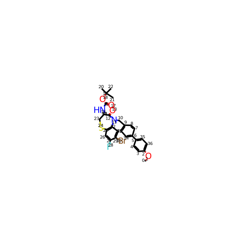 COc1ccc(-c2ccc(CN3C(=O)[C@@H](NC(=O)OC(C)(C)C)CSc4cc(F)c(Br)cc43)cc2)cc1